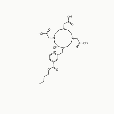 CCCCOC(=O)c1cc[n+](O)c(CN2CCN(CC(=O)O)CCN(CC(=O)O)CCN(CC(=O)O)CC2)c1